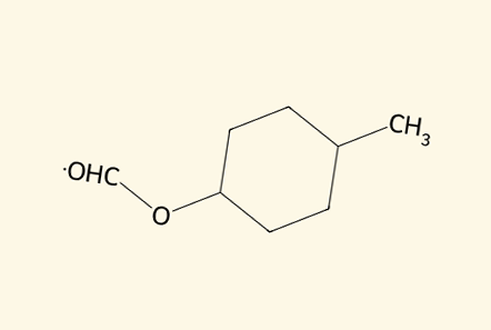 CC1CCC(O[C]=O)CC1